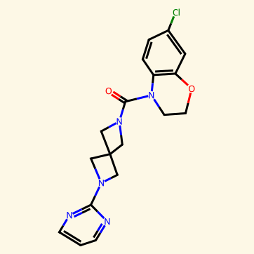 O=C(N1CC2(C1)CN(c1ncccn1)C2)N1CCOc2cc(Cl)ccc21